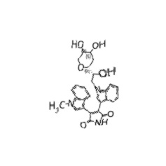 Cn1cc(C2=C(c3cn(CC(O)[C@H]4C[C@H](O)[C@H](O)CO4)c4ccccc34)C(=O)NC2=O)c2ccccc21